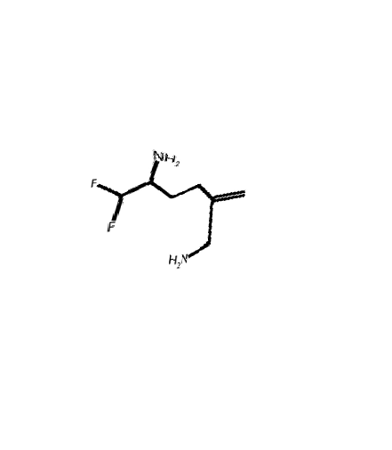 C=C(CN)CCC(N)C(F)F